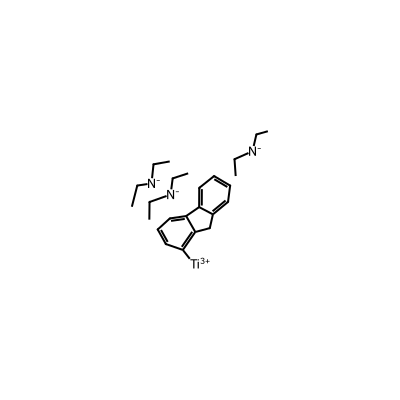 CC[N-]CC.CC[N-]CC.CC[N-]CC.[Ti+3][c]1cccc2c1Cc1ccccc1-2